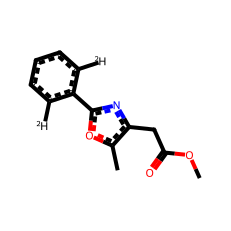 [2H]c1cccc([2H])c1-c1nc(CC(=O)OC)c(C)o1